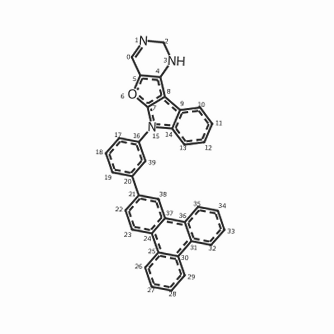 C1=NCNc2c1oc1c2c2ccccc2n1-c1cccc(-c2ccc3c4ccccc4c4ccccc4c3c2)c1